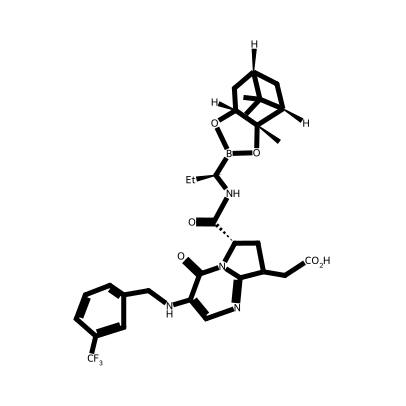 CC[C@H](NC(=O)[C@@H]1CC(CC(=O)O)c2ncc(NCc3cccc(C(F)(F)F)c3)c(=O)n21)B1O[C@@H]2C[C@@H]3C[C@@H](C3(C)C)[C@]2(C)O1